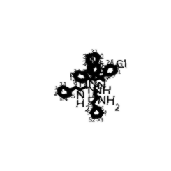 N[C@H](CNC1(NC[C@@H](N)Cc2ccccc2)N=CC(c2ccc(Cl)cc2)(c2cc3ccccc3s2)C(c2ccncc2)(c2ccncc2)N1)Cc1ccccc1